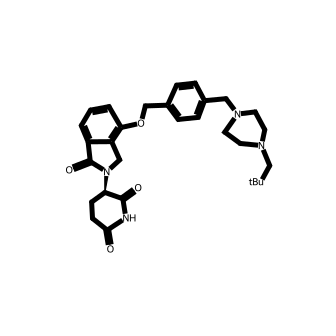 CC(C)(C)CN1CCN(Cc2ccc(COc3cccc4c3CN([C@@H]3CCC(=O)NC3=O)C4=O)cc2)CC1